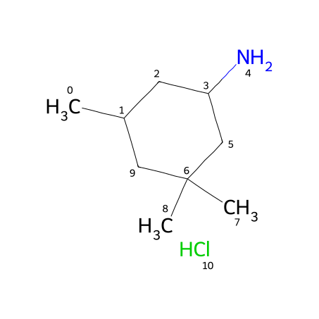 CC1CC(N)CC(C)(C)C1.Cl